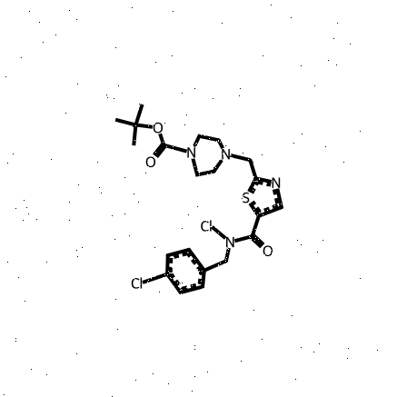 CC(C)(C)OC(=O)N1CCN(Cc2ncc(C(=O)N(Cl)Cc3ccc(Cl)cc3)s2)CC1